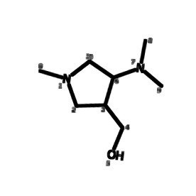 CN1CC(CO)C(N(C)C)C1